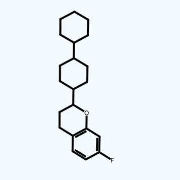 Fc1ccc2c(c1)OC(C1CCC(C3CCCCC3)CC1)CC2